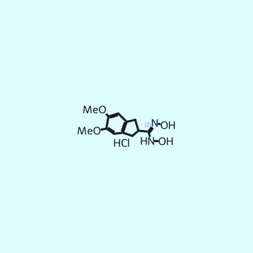 COc1cc2c(cc1OC)CC(/C(=N/O)NO)C2.Cl